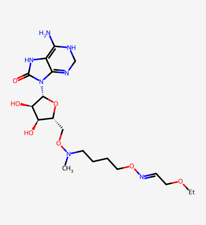 CCOCC=NOCCCCN(C)OC[C@H]1O[C@@H](n2c(=O)[nH]c3c2=NCNC=3N)[C@H](O)[C@@H]1O